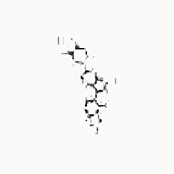 Cn1cc2c(Cl)c(-c3c[nH]c4nc(N5CC[C@H](N)[C@H](F)C5)cnc34)ccc2n1